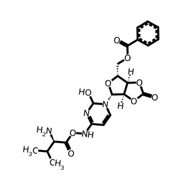 CC(C)[C@@H](N)C(=O)ONC1=NC(O)N([C@@H]2O[C@H](COC(=O)c3ccccc3)[C@H]3OC(=O)O[C@H]32)C=C1